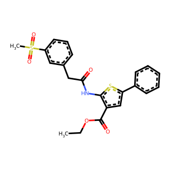 CCOC(=O)c1cc(-c2ccccc2)sc1NC(=O)Cc1cccc(S(C)(=O)=O)c1